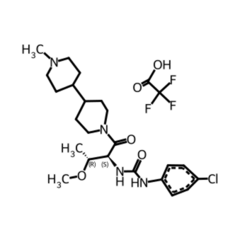 CO[C@H](C)[C@H](NC(=O)Nc1ccc(Cl)cc1)C(=O)N1CCC(C2CCN(C)CC2)CC1.O=C(O)C(F)(F)F